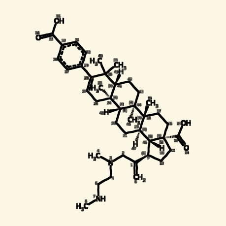 C=C(CN(C)CCNC)[C@@H]1CC[C@]2(C(=O)O)CC[C@]3(C)[C@H](CC[C@@H]4[C@@]5(C)CC=C(c6ccc(C(=O)O)cc6)C(C)(C)[C@@H]5CC[C@]43C)[C@@H]12